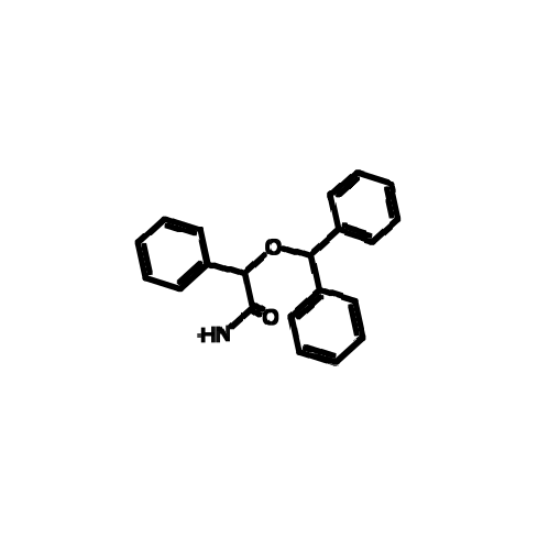 [NH]C(=O)C(OC(c1ccccc1)c1ccccc1)c1ccccc1